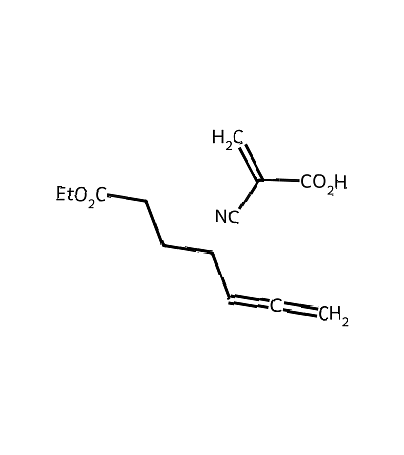 C=C(C#N)C(=O)O.C=C=CCCCC(=O)OCC